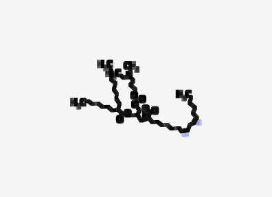 CCCCC/C=C\C/C=C\CCCCCCC(CC(COC(=O)OCCCN(CC)CC)COC(=O)C(CCCCCCC)CCCCCCCCC)C(=O)O